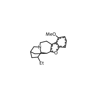 CCC1CC2CC3c4oc5cccc(OC)c5c4CCN(C2)C13